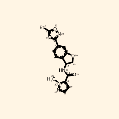 CCc1nc(-c2ccc3c(c2)OCC3NC(=O)c2ccnn2C)no1